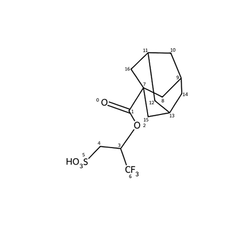 O=C(OC(CS(=O)(=O)O)C(F)(F)F)C12CC3CC(CC(C3)C1)C2